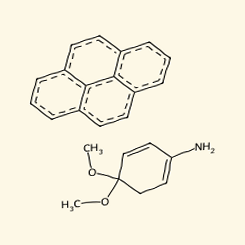 COC1(OC)C=CC(N)=CC1.c1cc2ccc3cccc4ccc(c1)c2c34